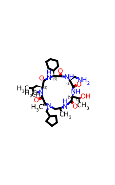 CC(C)C[C@H]1C(=O)N[C@@H](C2CCCCC2)C(=O)N[C@@H](CN)C(=O)N[C@@H]([C@H](C)O)C(=O)NC(C)CN(CC2CCCC2)[C@@H](C)C(=O)N1C